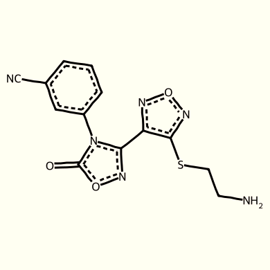 N#Cc1cccc(-n2c(-c3nonc3SCCN)noc2=O)c1